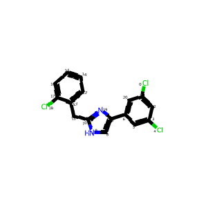 Clc1cc(Cl)cc(-c2c[nH]c(Cc3ccccc3Cl)n2)c1